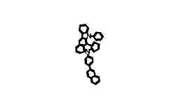 c1ccc(N(c2ccc(-c3ccc4ccccc4c3)cc2)c2ccccc2-c2cccc3c4ccccc4n(-c4ccccc4)c23)cc1